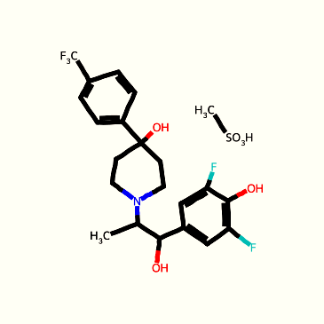 CC(C(O)c1cc(F)c(O)c(F)c1)N1CCC(O)(c2ccc(C(F)(F)F)cc2)CC1.CS(=O)(=O)O